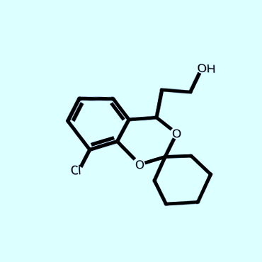 OCCC1OC2(CCCCC2)Oc2c(Cl)cccc21